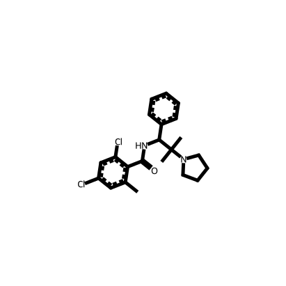 Cc1cc(Cl)cc(Cl)c1C(=O)NC(c1ccccc1)C(C)(C)N1CCCC1